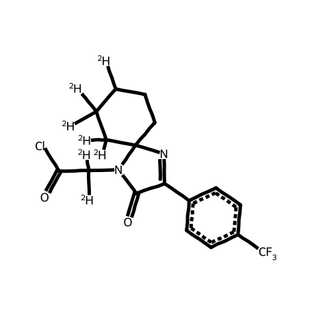 [2H]C1CCC2(N=C(c3ccc(C(F)(F)F)cc3)C(=O)N2C([2H])([2H])C(=O)Cl)C([2H])([2H])C1([2H])[2H]